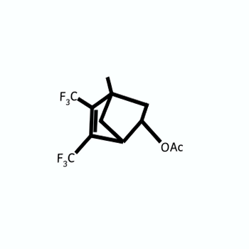 CC(=O)OC1CC2(C)CC1C(C(F)(F)F)=C2C(F)(F)F